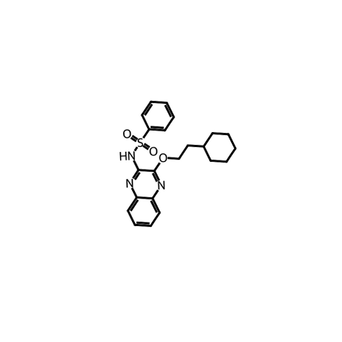 O=S(=O)(Nc1nc2ccccc2nc1OCCC1CCCCC1)c1ccccc1